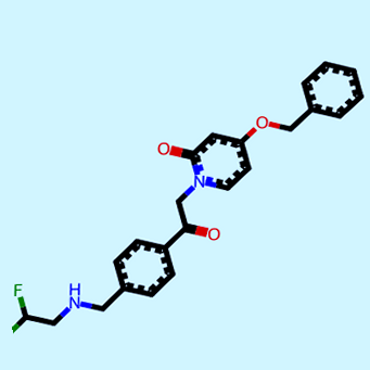 O=C(Cn1ccc(OCc2ccccc2)cc1=O)c1ccc(CNCC(F)F)cc1